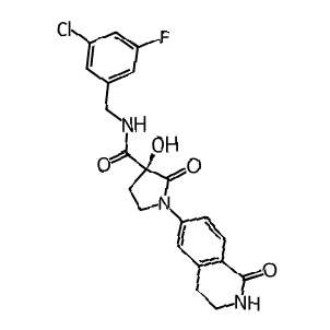 O=C1NCCc2cc(N3CC[C@](O)(C(=O)NCc4cc(F)cc(Cl)c4)C3=O)ccc21